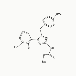 COc1ccc(Cc2nc(NC(=O)OC(C)(C)C)sc2-c2cccc(C(F)(F)F)c2F)cc1